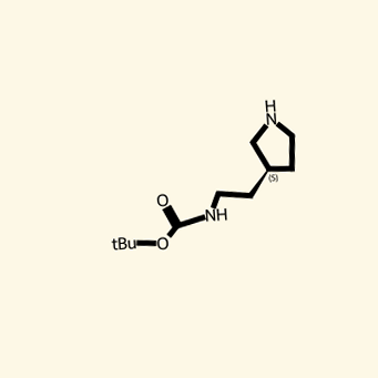 CC(C)(C)OC(=O)NCC[C@@H]1CCNC1